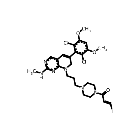 CNc1ncc2c(n1)N(CCCN1CCN(C(=O)/C=C/I)CC1)CC(c1c(Cl)c(OC)cc(OC)c1Cl)=C2